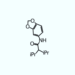 CC(C)C(C(=O)Nc1ccc2c(c1)OCO2)C(C)C